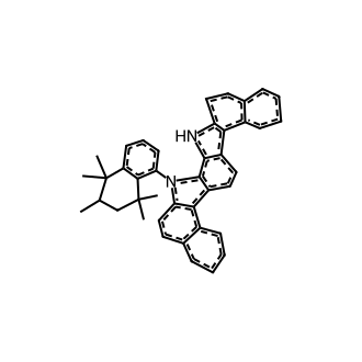 CC1CC(C)(C)c2c(-n3c4ccc5ccccc5c4c4ccc5c([nH]c6ccc7ccccc7c65)c43)cccc2C1(C)C